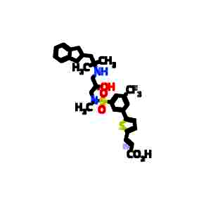 CN(C[C@H](O)CNC(C)(C)CC1Cc2ccccc2C1)S(=O)(=O)c1cc(-c2ccc(/C=C/C(=O)O)s2)cc(C(F)(F)F)c1